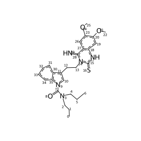 CCCN(CCC)C(=O)n1cc(CCn2c(=S)[nH]c3cc(OC)c(OC)cc3c2=N)c2ccccc21